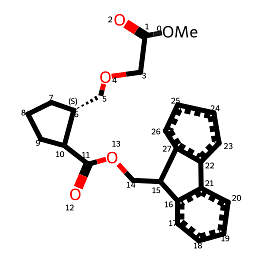 COC(=O)COC[C@H]1CCCC1C(=O)OCC1c2ccccc2-c2ccccc21